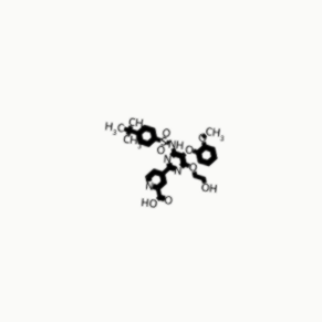 COc1ccccc1Oc1c(NS(=O)(=O)c2ccc(C(C)(C)C)cc2)nc(-c2ccnc(C(=O)O)c2)nc1OCCO